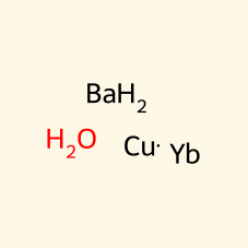 O.[BaH2].[Cu].[Yb]